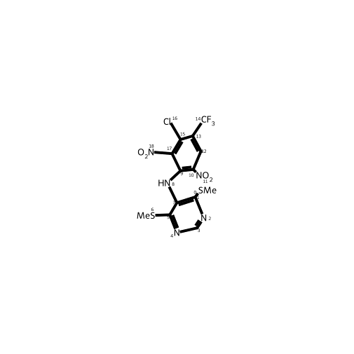 CSc1ncnc(SC)c1Nc1c([N+](=O)[O-])cc(C(F)(F)F)c(Cl)c1[N+](=O)[O-]